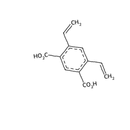 C=Cc1cc(C=C)c(C(=O)O)cc1C(=O)O